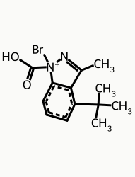 CC1=N[N+](Br)(C(=O)O)c2cccc(C(C)(C)C)c21